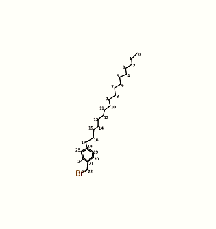 CCCCCCCCCCCCCCCCCCc1ccc(CBr)cc1